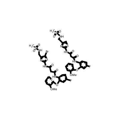 COc1ccccc1Oc1cc(F)ccc1NC(=O)CC(=O)Nc1nc(CNS(C)(=O)=O)c(Br)s1.COc1ccccc1Oc1cc(F)ccc1NC(=O)CC(=O)Nc1nc(CNS(C)(=O)=O)cs1